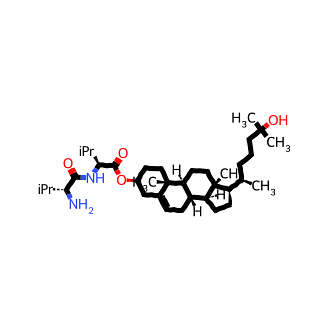 CC(C)[C@H](NC(=O)[C@H](N)C(C)C)C(=O)O[C@H]1CC[C@@]2(C)C(=CC[C@H]3[C@@H]4CC[C@H]([C@H](C)CCCC(C)(C)O)[C@@]4(C)CC[C@@H]32)C1